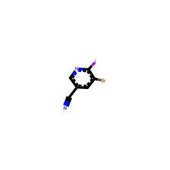 N#Cc1cnc(I)c(Br)c1